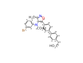 CCOC(=O)N(c1cccc(Br)c1)c1c(C)noc1-c1ccc(-c2ccc(CC(=O)O)cc2)cc1